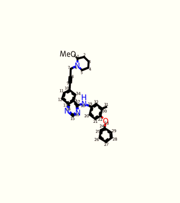 COC1CCCCN1CC#Cc1ccc2ncnc(Nc3ccc(Oc4ccccc4)c(C)c3)c2c1